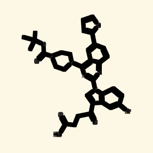 CC(C)(C)OC(=O)N1CCN(c2nc(-n3cc(C(=O)CCC(=O)O)c4cc(Br)ccc43)nc3ccc(-c4ccco4)cc23)CC1